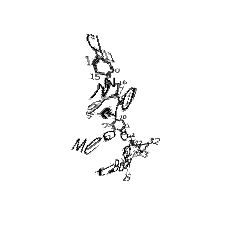 COc1cc(N2Cc3nn(-c4ccc(Cl)cc4)cc3C2=O)ccc1OC[C@H](O[Si](C)(C)C(C)(C)C)C1CC1